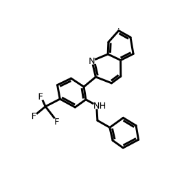 FC(F)(F)c1ccc(-c2ccc3cc[c]cc3n2)c(NCc2ccccc2)c1